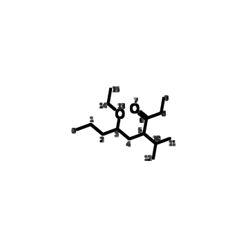 CCCC(CC(C(=O)CC)C(C)C)OCC